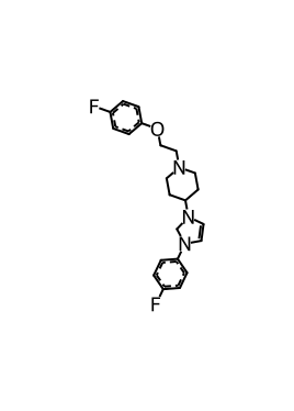 Fc1ccc(OCCN2CCC(N3C=CN(c4ccc(F)cc4)C3)CC2)cc1